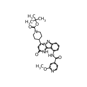 COc1cc(C(=O)Nc2cccc3nn4c(C5CCN(C(=O)OC(C)(C)C)CC5)cc(=O)[nH]c4c23)ccn1